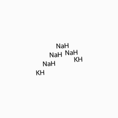 [KH].[KH].[NaH].[NaH].[NaH].[NaH]